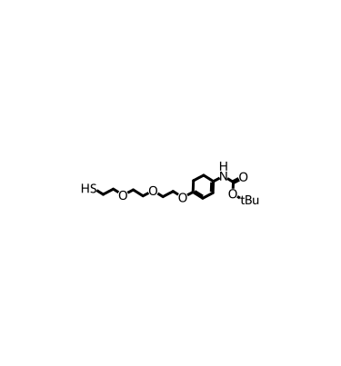 CC(C)(C)OC(=O)NC1=CC=C(OCCOCCOCCS)CC1